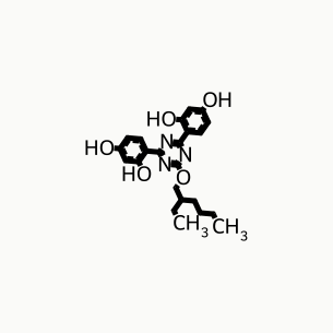 CCCCC(CC)COc1nc(-c2ccc(O)cc2O)nc(-c2ccc(O)cc2O)n1